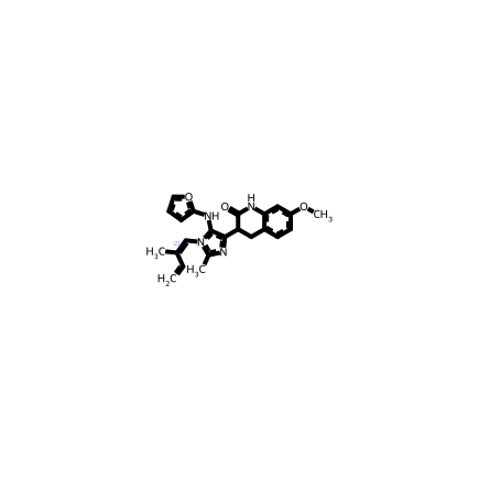 C=C/C(C)=C\n1c(C)nc(C2Cc3ccc(OC)cc3NC2=O)c1Nc1ccco1